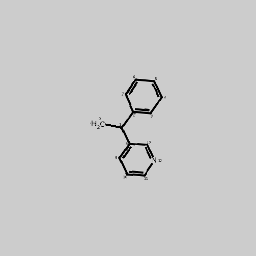 [CH2]C(c1ccccc1)c1cccnc1